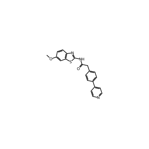 COc1ccc2nc(NC(=O)Cc3ccc(-c4ccncc4)cc3)sc2c1